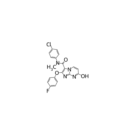 CN(C(=O)c1c(Oc2ccc(F)cc2)nc2nc(O)ccn12)c1ccc(Cl)cc1